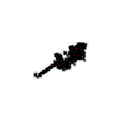 CC[C@H](C)[C@@H]([C@@H](CC(=O)N1CCC[C@H]1[C@H](OC)[C@@H](C)C(=O)N[C@@H](Cc1ccccc1)C(=O)NCCC(C)(C)OC(=O)[C@@H](NC(=O)[C@@H]1CCCN1C(=O)[C@H](CC(=O)OC(C)(C)C)NC(=O)CCOCCOCCOCCN)C(C)C)OC)N(C)C(=O)[C@@H](NC(=O)[C@H](C(C)C)N(C)C)C(C)C